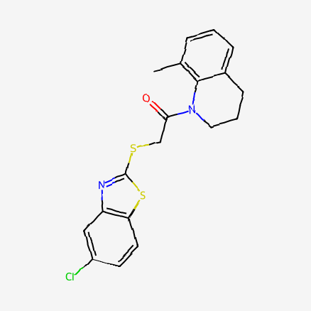 Cc1cccc2c1N(C(=O)CSc1nc3cc(Cl)ccc3s1)CCC2